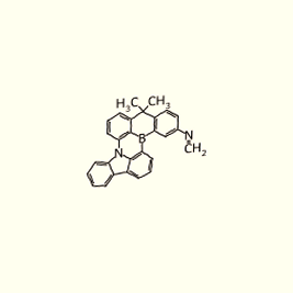 C=Nc1ccc2c(c1)B1c3c(cccc3C2(C)C)-n2c3ccccc3c3cccc1c32